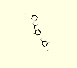 O=C(O)C1=CCCN(CC2=Cc3c(F)cc(OCc4ccc(OCC(F)(F)F)c(Cl)c4)cc3OC2)C1